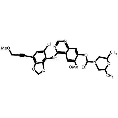 CCC(Oc1cc2ncnc(Nc3c(Cl)cc(C#CCOC)c4c3OCO4)c2cc1OC)N1CC(C)OC(C)C1